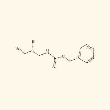 O=C(NCC(Br)CBr)OCc1ccccc1